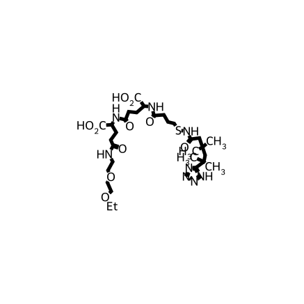 CCOCCOCCNC(=O)CCC(NC(=O)CCC(NC(=O)CCCSNC(=O)CC(C)(C)CC(C)(C)c1nnn[nH]1)C(=O)O)C(=O)O